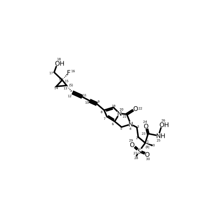 C[C@@](CCN1Cc2cc(C#CC#C[C@@H]3C[C@@]3(F)CO)cn2C1=O)(C(=O)NO)S(C)(=O)=O